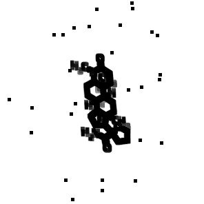 CN1C(=O)C=C[C@@]2(C)C1CC[C@@H]1[C@H]2CC[C@]2(C)C(C3(C(N)=O)CCCO3)CC[C@@H]12